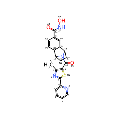 Cc1nc(-c2ccccn2)sc1C(=O)N1C2CCC1C1C=C(C(=O)NO)C=CC12